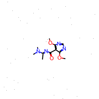 COc1ncnc(OC)c1C(=O)/N=C(\C)N(C)C